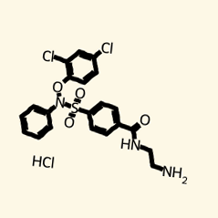 Cl.NCCNC(=O)c1ccc(S(=O)(=O)N(Oc2ccc(Cl)cc2Cl)c2ccccc2)cc1